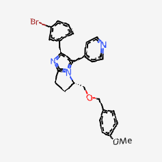 COc1ccc(COC[C@@H]2CCc3nc(-c4cccc(Br)c4)c(-c4ccncc4)n32)cc1